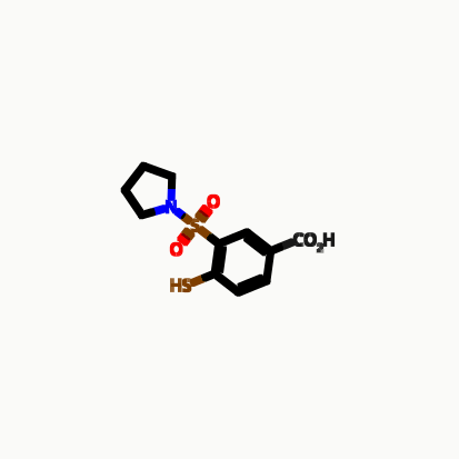 O=C(O)c1ccc(S)c(S(=O)(=O)N2CCCC2)c1